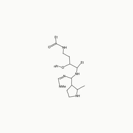 CCCOC(CCNC(=O)CC)C(CC)NC(/N=C\NC)C1CCNC1C